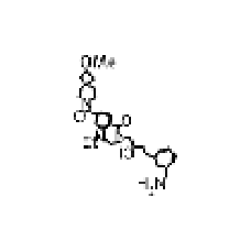 CCN1CCN(CC(O)CCC2C=CC=CC(CN)=C2)C(=O)c2ccc(C(=O)N3CCC4(CC3)CC(OC)C4)cc21